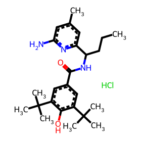 CCCC(NC(=O)c1cc(C(C)(C)C)c(O)c(C(C)(C)C)c1)c1cc(C)cc(N)n1.Cl